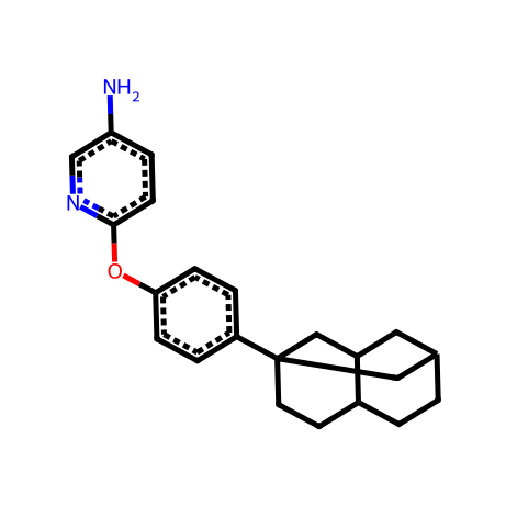 Nc1ccc(Oc2ccc(C34CCC5CCC(CC5C3)C4)cc2)nc1